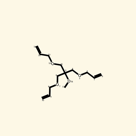 C=CCOCC(COCC=C)(COCC=C)OC